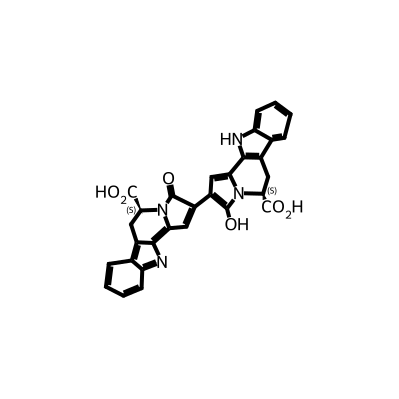 O=C(O)[C@@H]1CC2=c3ccccc3=NC2=C2C=C(c3cc4n(c3O)[C@H](C(=O)O)Cc3c-4[nH]c4ccccc34)C(=O)N21